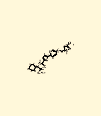 CNC(=O)[C@@H](NC(=O)c1ccc(-c2ccc(OCc3cc(C)n[nH]3)cn2)o1)C1CCCCC1